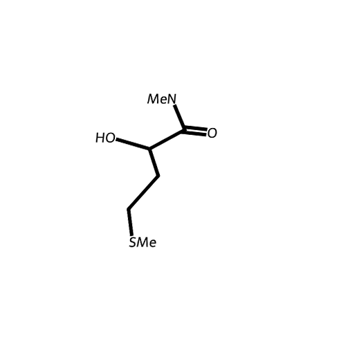 CNC(=O)C(O)CCSC